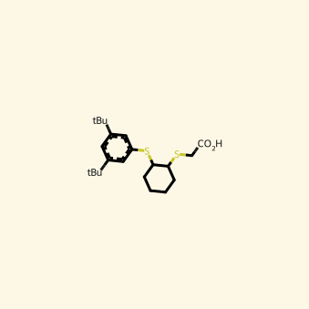 CC(C)(C)c1cc(SC2CCCCC2SCC(=O)O)cc(C(C)(C)C)c1